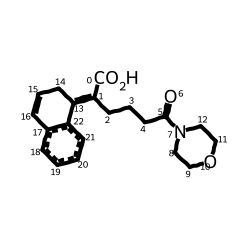 O=C(O)C(CCCC(=O)N1CCOCC1)=C1CC=Cc2ccccc21